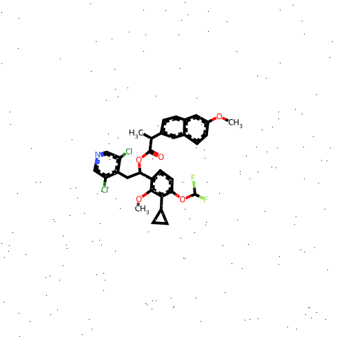 COc1ccc2cc(C(C)C(=O)OC(Cc3c(Cl)cncc3Cl)c3ccc(OC(F)F)c(C4CC4)c3OC)ccc2c1